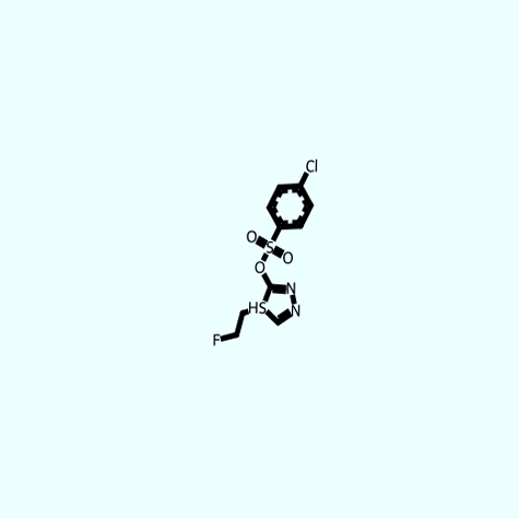 O=S(=O)(OC1=NN=C[SH]1CCF)c1ccc(Cl)cc1